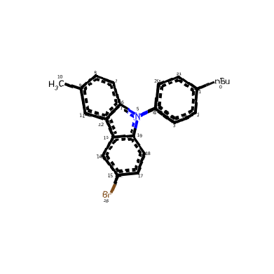 CCCCc1ccc(-n2c3ccc(C)cc3c3cc(Br)ccc32)cc1